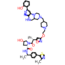 Cc1ncsc1-c1ccc([C@H](C)NC(=O)[C@@H]2C[C@@H](O)CN2C(=O)[C@@H](c2cc(OCCN3CCC(CN4CCN5c6cc(-c7ccccc7O)nnc6NCC5C4)CC3)no2)C(C)C)cc1